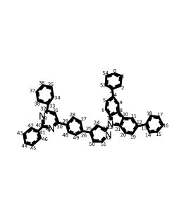 c1ccc(-c2ccc3c(c2)c2cc(-c4ccccc4)ccc2n3-c2cc(-c3ccc(-c4cc(-c5ccccc5)nc(-c5ccccc5)n4)cc3)ccn2)cc1